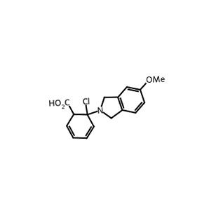 COc1ccc2c(c1)CN(C1(Cl)C=CC=CC1C(=O)O)C2